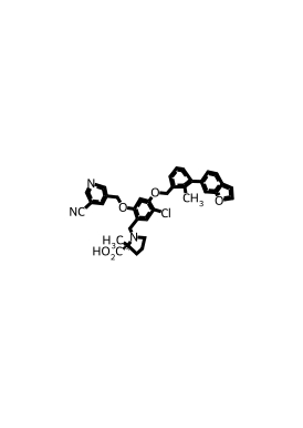 Cc1c(COc2cc(OCc3cncc(C#N)c3)c(CN3CCC[C@@]3(C)C(=O)O)cc2Cl)cccc1-c1ccc2ccoc2c1